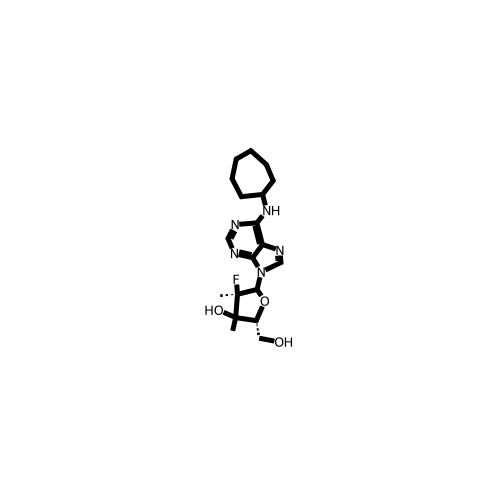 CC1(O)[C@@H](CO)OC(n2cnc3c(NC4CCCCCC4)ncnc32)[C@]1(C)F